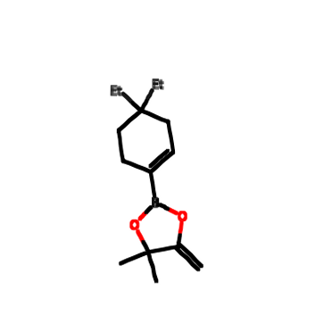 C=C1OB(C2=CCC(CC)(CC)CC2)OC1(C)C